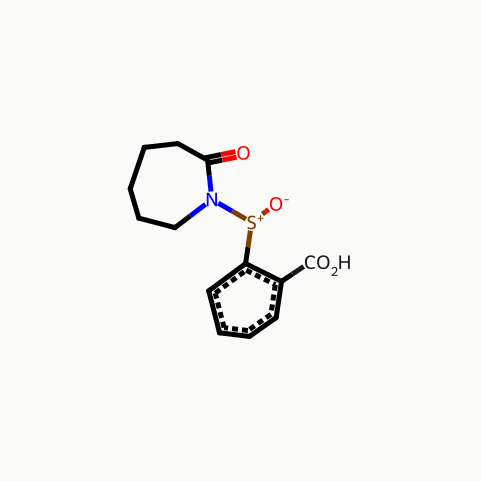 O=C(O)c1ccccc1[S+]([O-])N1CCCCCC1=O